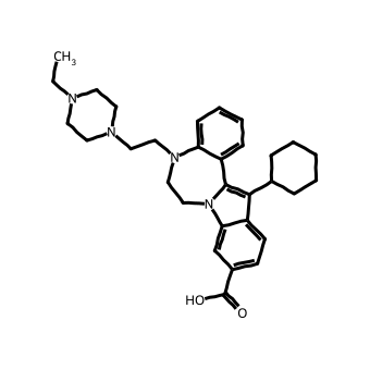 CCN1CCN(CCN2CCn3c(c(C4CCCCC4)c4ccc(C(=O)O)cc43)-c3ccccc32)CC1